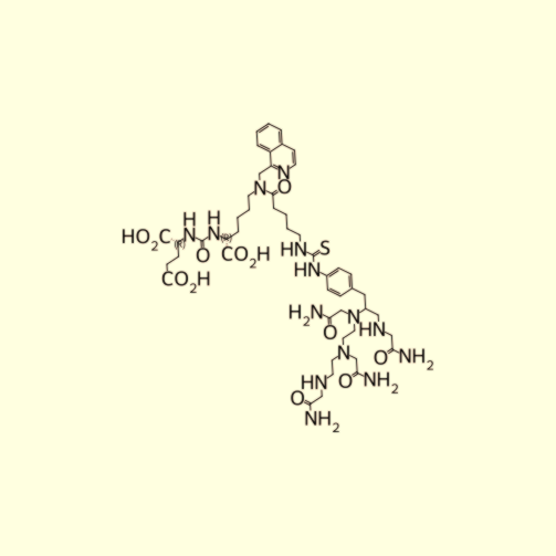 NC(=O)CNCCN(CCN(CC(N)=O)C(CNCC(N)=O)Cc1ccc(NC(=S)NCCCCC(=O)N(CCCC[C@@H](NC(=O)N[C@H](CCC(=O)O)C(=O)O)C(=O)O)Cc2nccc3ccccc23)cc1)CC(N)=O